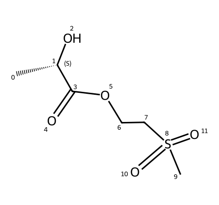 C[C@H](O)C(=O)OCCS(C)(=O)=O